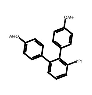 CCCc1[c]ccc(-c2ccc(OC)cc2)c1-c1ccc(OC)cc1